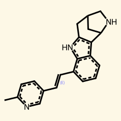 Cc1ccc(/C=C/c2cccc3c4c([nH]c23)CC2CNC4C2)cn1